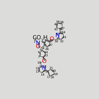 O=C(O)C=NOC(c1ccc(OCc2cccc(-c3ccccc3)n2)cc1)c1ccc(OCc2cccc(-c3ccccc3)n2)cc1